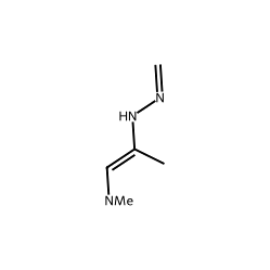 C=NN/C(C)=C/NC